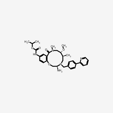 CO[C@H]1CN(C)C(=O)c2cc(NC(=O)OC(C)C)ccc2OC[C@H](N)N(Cc2ccc(-c3ccccn3)cc2)C[C@@H]1C